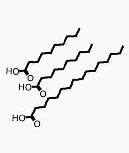 CCCCCCCCCC(=O)O.CCCCCCCCCC(=O)O.CCCCCCCCCCCCCCCC(=O)O